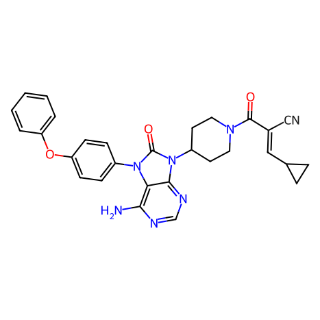 N#CC(=CC1CC1)C(=O)N1CCC(n2c(=O)n(-c3ccc(Oc4ccccc4)cc3)c3c(N)ncnc32)CC1